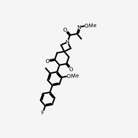 CO/N=C(\C)C(=O)N1CC2(CC(=O)C(c3c(C)cc(-c4ccc(F)cc4)cc3OC)C(=O)C2)C1